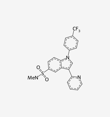 CNS(=O)(=O)c1ccc2c(c1)c(-c1ccccn1)cn2-c1ccc(C(F)(F)F)cc1